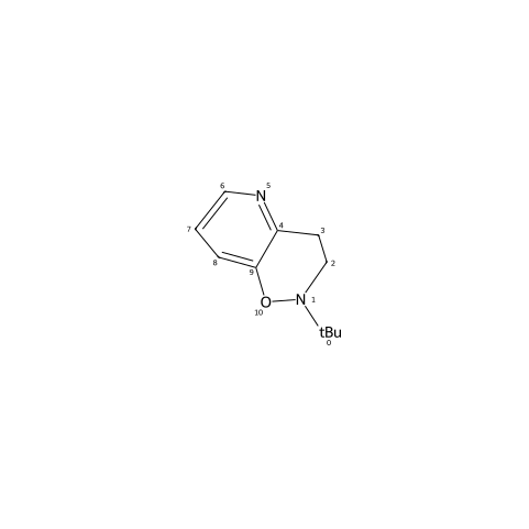 CC(C)(C)N1CCc2ncccc2O1